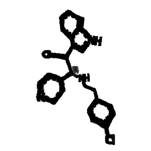 O=C(c1c[nH]c2ccccc12)[C@H](NCCc1ccc(Cl)cc1)c1ccncc1